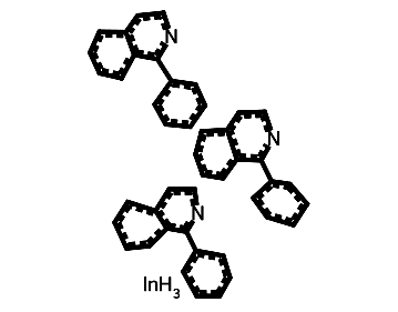 [InH3].c1ccc(-c2nccc3ccccc23)cc1.c1ccc(-c2nccc3ccccc23)cc1.c1ccc(-c2nccc3ccccc23)cc1